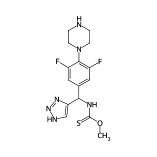 COC(=S)NC(c1cc(F)c(N2CCNCC2)c(F)c1)c1c[nH]nn1